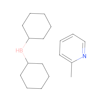 B(C1CCCCC1)C1CCCCC1.Cc1ccccn1